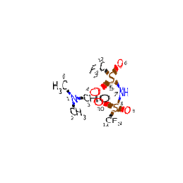 CN(C)C=O.O=S(=O)(NS(=O)(=O)C(F)(F)F)C(F)(F)F